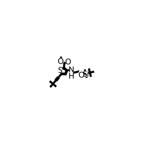 COC(=O)c1sc(C#CC(C)(C)C)cc1NCCO[Si](C)(C)C(C)(C)C